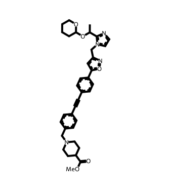 COC(=O)C1CCN(Cc2ccc(C#Cc3ccc(-c4cc(Cn5ccnc5C(C)OC5CCCCO5)no4)cc3)cc2)CC1